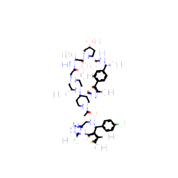 Cc1ncsc1-c1ccc([C@H](C)NC(=O)[C@@H]2C[C@@H](O)CN2C(=O)[C@@H](NC(=O)CN2C[C@@H](C)N(C3CCN(C(=O)C[C@@H]4N=C(c5ccc(Cl)cc5)c5c(sc(C)c5C)-n5c(C)nnc54)CC3)C[C@@H]2C)C(C)(C)C)cc1